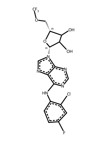 OC1C(O)[C@@H](COC(F)(F)F)O[C@H]1n1cnc2c(Nc3ccc(F)cc3Cl)ncnc21